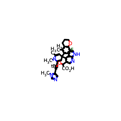 CC1=CC(c2cc(F)c3c(c2C)CCCO3)(c2c(C(OC(C)(C)C)C(=O)O)cnc3[nH]ccc23)C=C(C#Cc2cncn2C)N1C